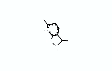 Cc1ccc2c(n1)NNC2C